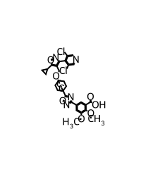 COc1cc(-c2noc(C34CCC(OCc5c(-c6c(Cl)cncc6Cl)noc5C5CC5)(CC3)CC4)n2)cc(C(=O)O)c1OC